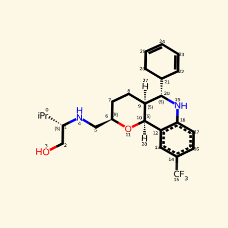 CC(C)[C@@H](CO)NC[C@H]1CC[C@@H]2[C@H](O1)c1cc(C(F)(F)F)ccc1N[C@H]2C1C=CC=CC1